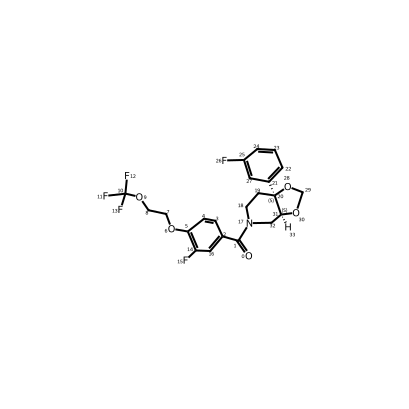 O=C(c1ccc(OCCOC(F)(F)F)c(F)c1)N1CC[C@@]2(c3cccc(F)c3)OCO[C@H]2C1